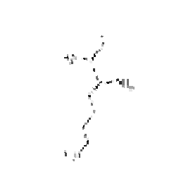 CCC(N)C(N)CCCCN